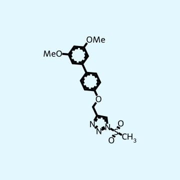 COc1cc(OC)cc(-c2ccc(OCc3cn(S(C)(=O)=O)nn3)cc2)c1